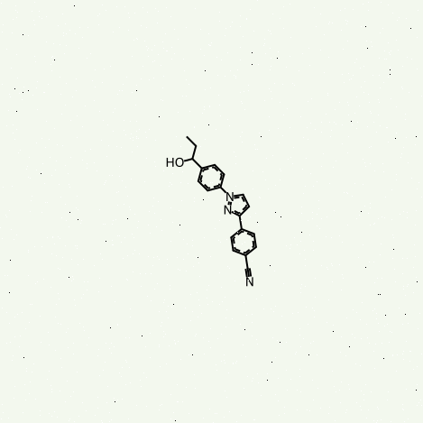 CCC(O)c1ccc(-n2ccc(-c3ccc(C#N)cc3)n2)cc1